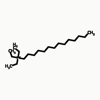 CCCCCCCCCCCCCC[P+](CC)(CC)CC